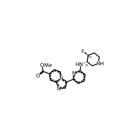 COC(=O)c1ccn2c(-c3cccc(N[C@H]4CNCC[C@@H]4F)n3)cnc2c1